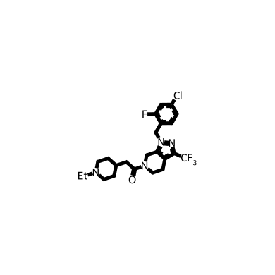 CCN1CCC(CC(=O)N2CCc3c(C(F)(F)F)nn(Cc4ccc(Cl)cc4F)c3C2)CC1